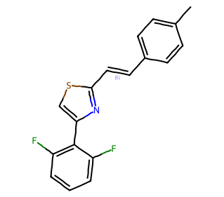 Cc1ccc(/C=C/c2nc(-c3c(F)cccc3F)cs2)cc1